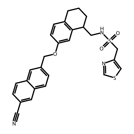 N#Cc1ccc2cc(COc3ccc4c(c3)C(CNS(=O)(=O)Cc3cscn3)CCC4)ccc2c1